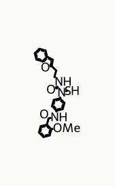 COc1ccccc1C(=O)Nc1ccc(N(S)C(=O)NCCc2cc3ccccc3o2)cc1